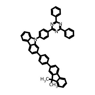 CC1(C)c2ccccc2-c2ccc(-c3ccc(-c4ccc5c6ccccc6n(-c6ccc(-c7nc(-c8ccccc8)nc(-c8ccccc8)n7)cc6)c5c4)cc3)cc21